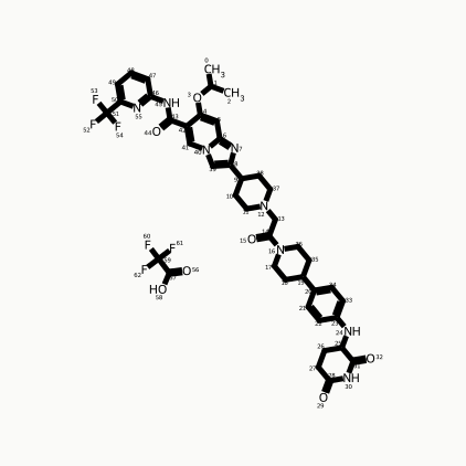 CC(C)Oc1cc2nc(C3CCN(CC(=O)N4CCC(c5ccc(NC6CCC(=O)NC6=O)cc5)CC4)CC3)cn2cc1C(=O)Nc1cccc(C(F)(F)F)n1.O=C(O)C(F)(F)F